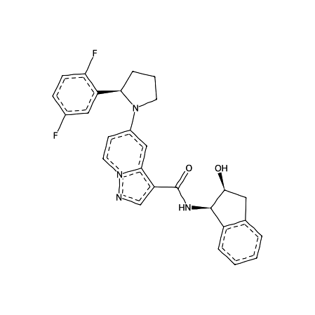 O=C(N[C@@H]1c2ccccc2C[C@@H]1O)c1cnn2ccc(N3CCC[C@@H]3c3cc(F)ccc3F)cc12